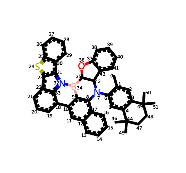 Cc1cc2c(cc1N1c3c4c(cc5ccccc35)-c3cccc5c6sc7ccccc7c6n(c35)B4C3Oc4ccccc4C31)C(C)(C)CCC2(C)C